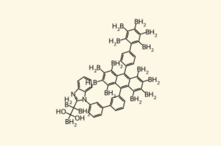 Bc1c(B)c(B)c(-c2ccc(-c3c4c(B)c(B)c(B)c(B)c4c(-c4cccc(-c5cccc(-n6c(C(B)(B)C(B)(O)O)nc7ccccc76)c5)c4)c4c(B)c(B)c(B)c(B)c34)cc2)c(B)c1B